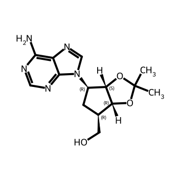 CC1(C)O[C@@H]2[C@@H](CO)C[C@@H](n3cnc4c(N)ncnc43)[C@@H]2O1